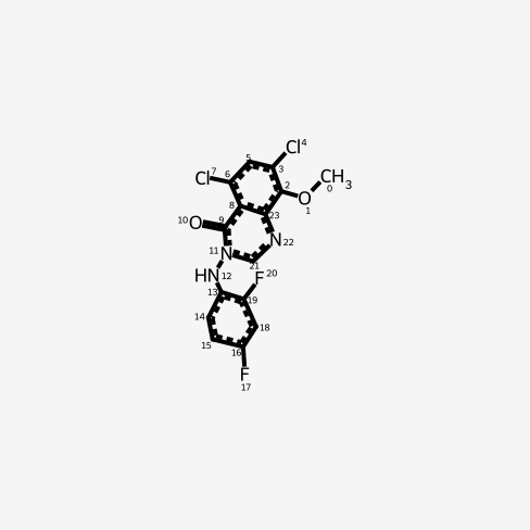 COc1c(Cl)cc(Cl)c2c(=O)n(Nc3ccc(F)cc3F)cnc12